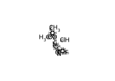 CCc1ccc(OCCCN2CCC(c3onc4cc(F)ccc34)CC2)c(OC)c1.Cl